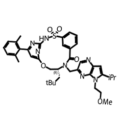 COCCn1c(C(C)C)cc2ncc(CN3C(=O)c4cccc(c4)S(=O)(=O)Nc4nc(cc(-c5c(C)cccc5C)n4)OC[C@H]3CC(C)(C)C)nc21